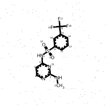 CNc1nccc(NS(=O)(=O)c2cccc(C(F)(F)F)c2)n1